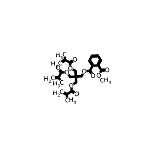 C=C(C)C(=O)OCC(COC(=O)C(=C)C)(COC(=O)C(=C)C)COC(=O)c1ccccc1C(=O)OC